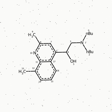 CCCCN(CCCC)CC(O)c1cc(C)nc2c(C)cccc12